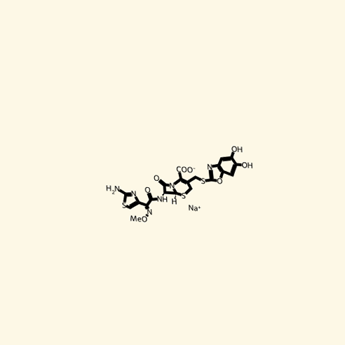 CON=C(C(=O)N[C@@H]1C(=O)N2C(C(=O)[O-])=C(CSc3nc4cc(O)c(O)cc4o3)CS[C@@H]12)c1csc(N)n1.[Na+]